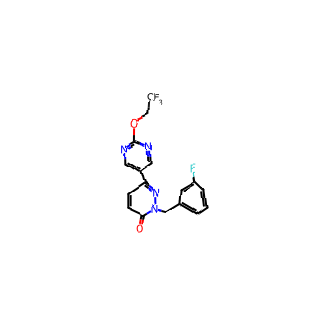 O=c1ccc(-c2cnc(OCC(F)(F)F)nc2)nn1Cc1cccc(F)c1